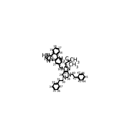 CC(C)(C)Cc1nc2c(n1Cc1ccc(-c3ccccc3-c3nnn[nH]3)cc1)CN(CCc1ccccc1)CN2CCc1ccccc1